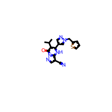 CC(C)c1c(-c2cnn(Cc3cccs3)c2)[nH]c2c(C#N)cnn2c1=O